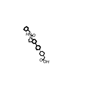 O=C(O)C[C@H]1CC[C@H](c2ccc(-c3ccc4c(c3)CCN4C(=O)NCc3ccccc3)cc2)CC1